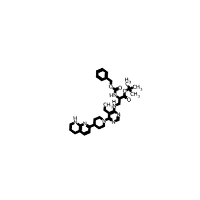 CCc1c(NCC(NC(=O)OCc2ccccc2)C(=O)OC(C)(C)C)ncnc1N1CCC(c2ccc3c(n2)NCCC3)CC1